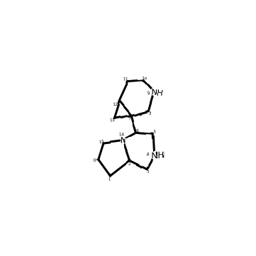 C1CC2CNCC(C34CNCCC3C4)N2C1